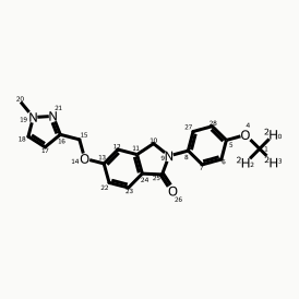 [2H]C([2H])([2H])Oc1ccc(N2Cc3cc(OCc4ccn(C)n4)ccc3C2=O)cc1